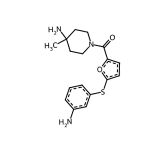 CC1(N)CCN(C(=O)c2ccc(Sc3cccc(N)c3)o2)CC1